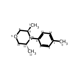 Cc1ccc(N2[C@H](C)COC[C@H]2C)cc1